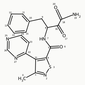 Cc1nsc(C(=O)NC(Cc2ccccc2)C(=O)C(N)=O)c1-c1ccncn1